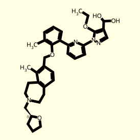 CCOc1c(C(O)O)cnn1-c1cccc(-c2cccc(C)c2OCc2ccc3c(c2C)CCN(C[C@@H]2CCCO2)CC3)n1